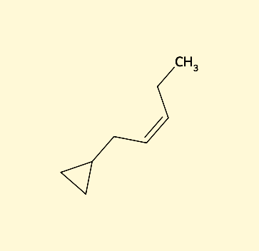 CC/C=C\CC1CC1